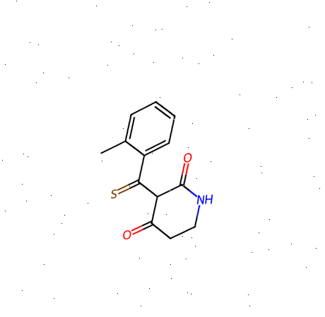 Cc1ccccc1C(=S)C1C(=O)CCNC1=O